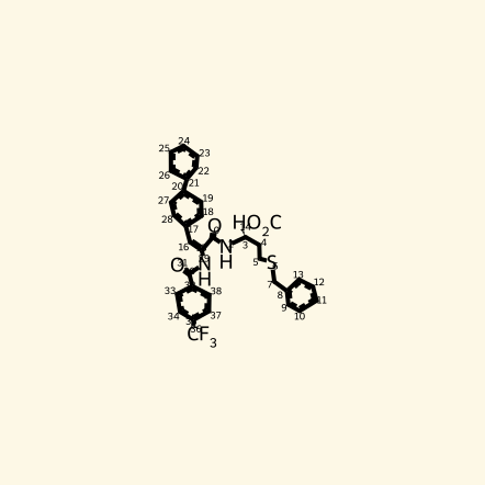 O=C(N[C@@H](CCSCc1ccccc1)C(=O)O)/C(=C\c1ccc(-c2ccccc2)cc1)NC(=O)c1ccc(C(F)(F)F)cc1